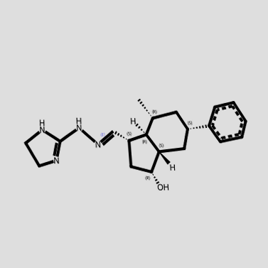 C[C@@H]1C[C@H](c2ccccc2)C[C@H]2[C@H]1[C@@H](/C=N/NC1=NCCN1)C[C@H]2O